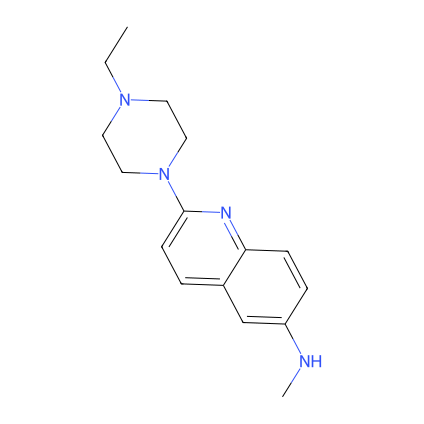 CCN1CCN(c2ccc3cc(NC)ccc3n2)CC1